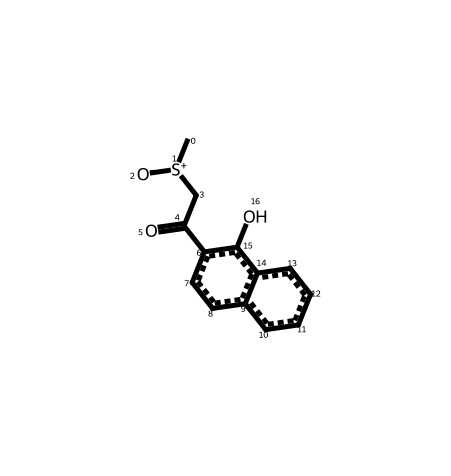 C[S+]([O-])CC(=O)c1ccc2ccccc2c1O